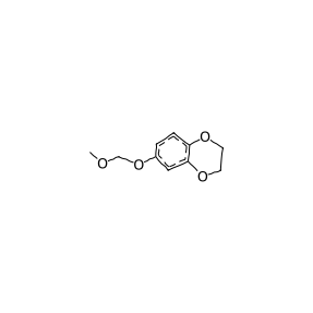 COCOc1ccc2c(c1)OCCO2